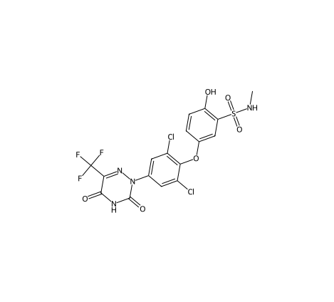 CNS(=O)(=O)c1cc(Oc2c(Cl)cc(-n3nc(C(F)(F)F)c(=O)[nH]c3=O)cc2Cl)ccc1O